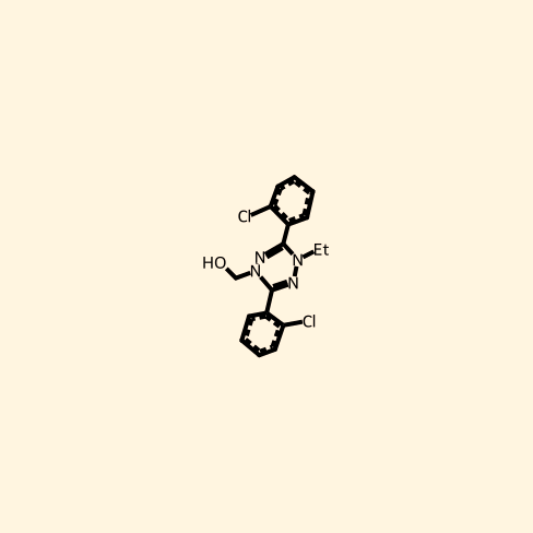 CCN1N=C(c2ccccc2Cl)N(CO)N=C1c1ccccc1Cl